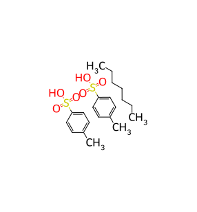 CCCCCCC.Cc1ccc(S(=O)(=O)O)cc1.Cc1ccc(S(=O)(=O)O)cc1